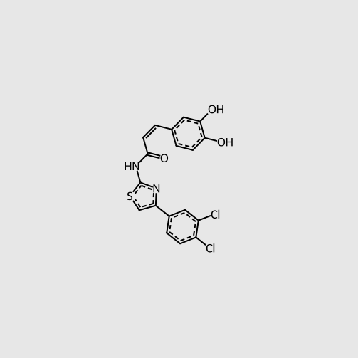 O=C(/C=C\c1ccc(O)c(O)c1)Nc1nc(-c2ccc(Cl)c(Cl)c2)cs1